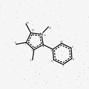 Cc1c(C)c(-c2ccccc2)n(C)c1C